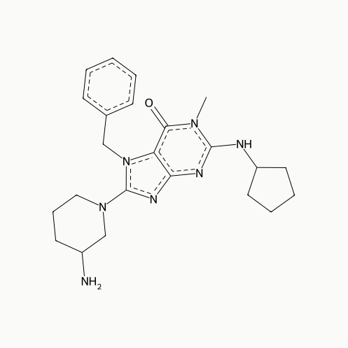 Cn1c(NC2CCCC2)nc2nc(N3CCCC(N)C3)n(Cc3ccccc3)c2c1=O